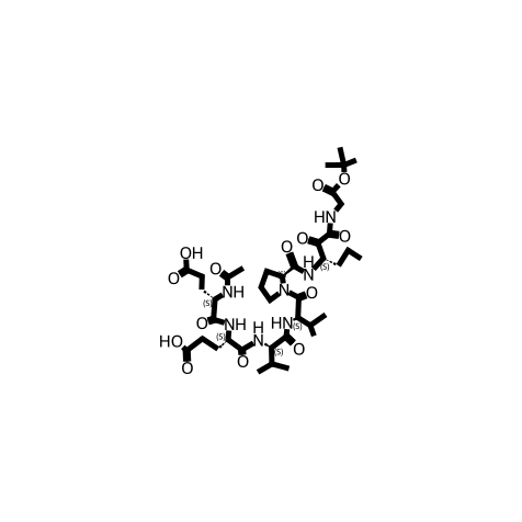 CCC[C@H](NC(=O)[C@@H]1CCCN1C(=O)[C@@H](NC(=O)[C@@H](NC(=O)[C@H](CCC(=O)O)NC(=O)[C@H](CCC(=O)O)NC(C)=O)C(C)C)C(C)C)C(=O)C(=O)NCC(=O)OC(C)(C)C